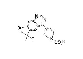 CC(F)(F)c1cc2c(N3CCN(C(=O)O)CC3)ncnc2cc1Br